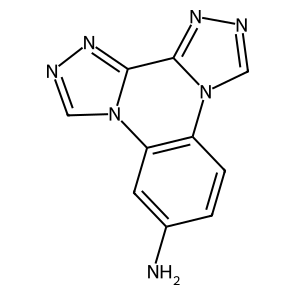 Nc1ccc2c(c1)n1cnnc1c1nncn21